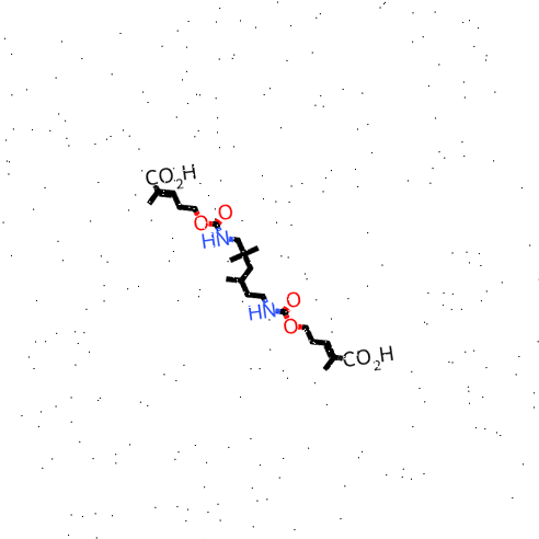 C/C(=C\CCOC(=O)NCCC(C)CC(C)(C)CNC(=O)OCC/C=C(\C)C(=O)O)C(=O)O